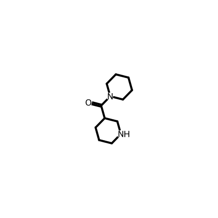 O=C(C1CCCNC1)N1CCCCC1